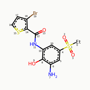 CCS(=O)(=O)c1cc(N)c(O)c(NC(=O)c2sccc2Br)c1